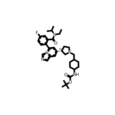 CCN(C(=O)c1cc(F)ccc1-c1cc([C@@H]2CCN(CC3CCC(NC(=O)OC(C)(C)C)CC3)C2)cc2cncn12)C(C)C